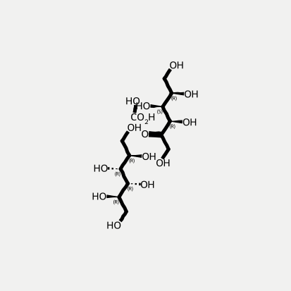 O=C(CO)[C@H](O)[C@@H](O)[C@H](O)CO.O=C(O)O.OC[C@@H](O)[C@@H](O)[C@H](O)[C@H](O)CO